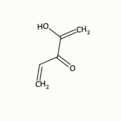 C=CC(=O)C(=C)O